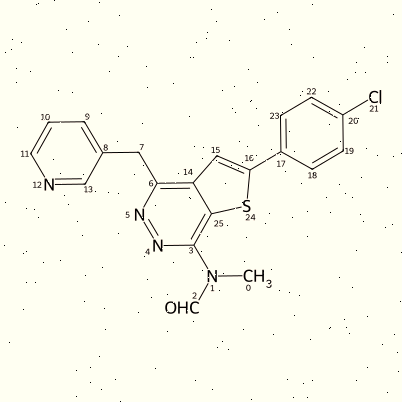 CN(C=O)c1nnc(Cc2cccnc2)c2cc(-c3ccc(Cl)cc3)sc12